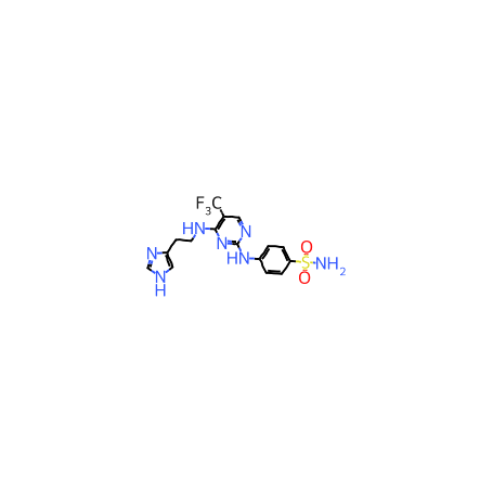 NS(=O)(=O)c1ccc(Nc2ncc(C(F)(F)F)c(NCCc3c[nH]cn3)n2)cc1